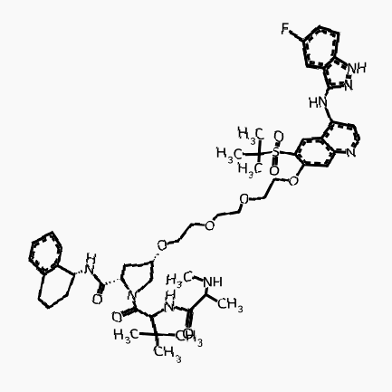 CNC(C)C(=O)NC(C(=O)N1C[C@@H](OCCOCCOCCOc2cc3nccc(Nc4n[nH]c5ccc(F)cc45)c3cc2S(=O)(=O)C(C)(C)C)C[C@H]1C(=O)N[C@@H]1CCCc2ccccc21)C(C)(C)C